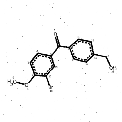 COc1ccc(C(=O)c2ccc(CO)cc2)cc1Br